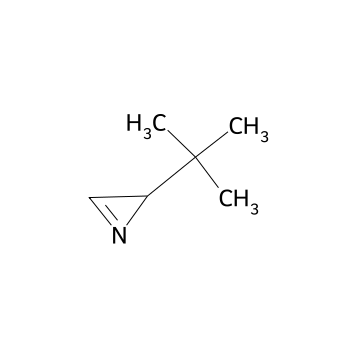 CC(C)(C)C1C=N1